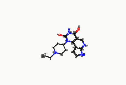 CCC(C)CN1CCC(n2c(=O)[nH]c(=O)c3cnc4[nH]ccc4c32)CC1